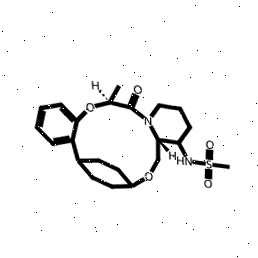 C[C@@H]1Oc2ccccc2C2CCC(CC2)OC[C@H]2C(NS(C)(=O)=O)CCCN2C1=O